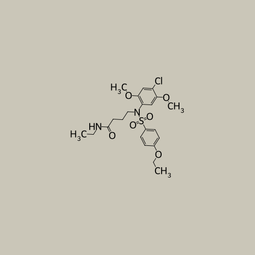 CCNC(=O)CCCN(c1cc(OC)c(Cl)cc1OC)S(=O)(=O)c1ccc(OCC)cc1